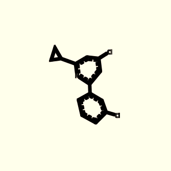 Clc1cccc(-c2cc(Cl)cc(C3CC3)n2)c1